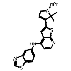 CCCN1CC=C(c2cc3c(Nc4ccc5scnc5c4)ccnc3s2)C1(C)C